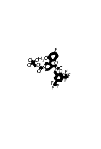 Cc1cc(F)ccc1C1CN(C(=O)OCC(Cl)(Cl)Cl)CCC1C(=O)N(C)Cc1cc(C(F)(F)F)cc(C(F)(F)F)c1